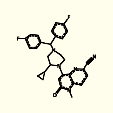 Cn1c(=O)cc(N2CCN(C(c3ccc(F)cc3)c3ccc(F)cc3)CC2C2CC2)c2nc(C#N)ccc21